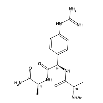 CC(=O)N[C@@H](C)C(=O)N[C@@H](C(=O)N[C@@H](C)C(N)=O)c1ccc(NC(=N)N)cc1